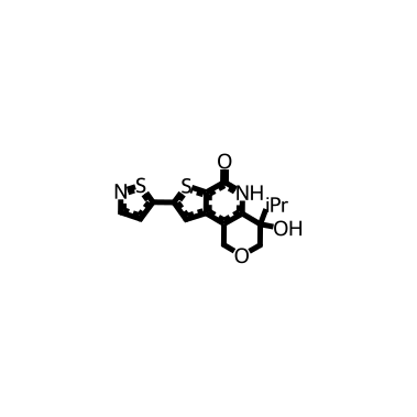 CC(C)C1(O)COCc2c1[nH]c(=O)c1sc(-c3ccns3)cc21